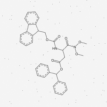 CON(OC)C(=O)C(CC(=O)OC(c1ccccc1)c1ccccc1)NC(=O)OCC1c2ccccc2-c2ccccc21